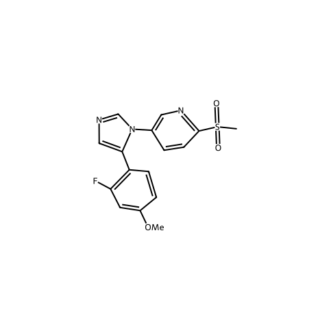 COc1ccc(-c2cncn2-c2ccc(S(C)(=O)=O)nc2)c(F)c1